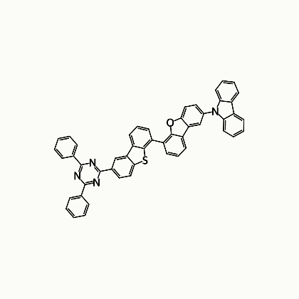 c1ccc(-c2nc(-c3ccccc3)nc(-c3ccc4sc5c(-c6cccc7c6oc6ccc(-n8c9ccccc9c9ccccc98)cc67)cccc5c4c3)n2)cc1